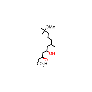 COC(C)(C)CCCC(C)CC(O)CC(=O)CC(=O)O